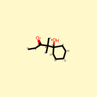 CCC(=O)C(C)(C)C1(O)CCCCC1